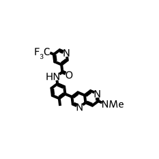 CNc1cc2ncc(-c3cc(NC(=O)c4cncc(C(F)(F)F)c4)ccc3C)cc2cn1